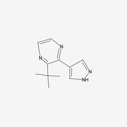 CC(C)(C)c1nccnc1-c1cn[nH]c1